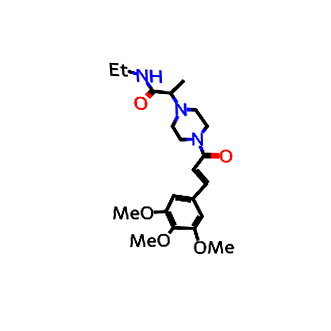 CCNC(=O)C(C)N1CCN(C(=O)C=Cc2cc(OC)c(OC)c(OC)c2)CC1